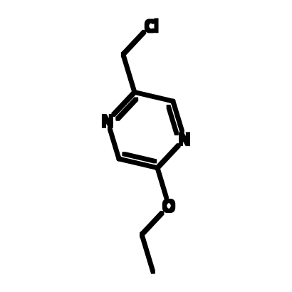 CCOc1cnc(CCl)cn1